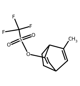 CC1=CC2C=C(OS(=O)(=O)C(F)(F)F)C1CC2